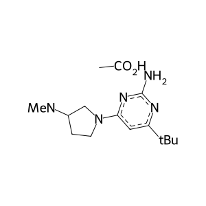 CC(=O)O.CNC1CCN(c2cc(C(C)(C)C)nc(N)n2)C1